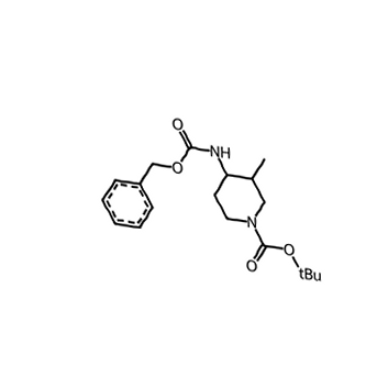 CC1CN(C(=O)OC(C)(C)C)CCC1NC(=O)OCc1ccccc1